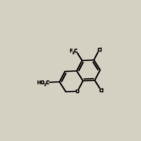 O=C(O)C1=Cc2c(c(Cl)cc(Cl)c2C(F)(F)F)OC1